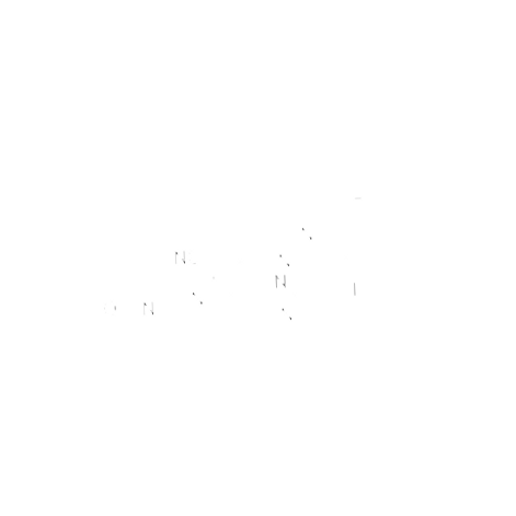 N#Cc1ccc(-c2cnc3ccc(N4CCCC4c4cc(F)ccc4F)nn23)cc1N1CCC(N2CCOCC2)C1